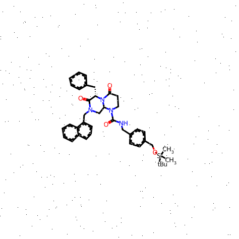 CC(C)(C)[Si](C)(C)OCc1ccc(CNC(=O)N2CCC(=O)N3C2CN(Cc2cccc4ccccc24)C(=O)[C@@H]3Cc2ccccc2)cc1